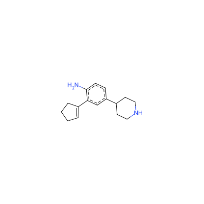 Nc1ccc(C2CCNCC2)cc1C1=CCCC1